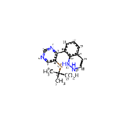 CC(C)(Sc1cncnc1-c1cccc2c1NNC=C2)C(=O)O